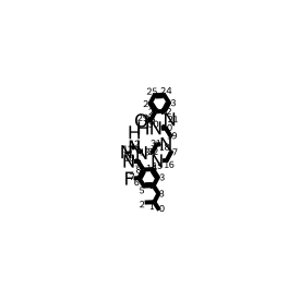 CC(C)Cc1cc(F)c(-c2nn[nH]n2)c(N2CCN(Cc3nc4ccccc4c(=O)[nH]3)CC2)c1